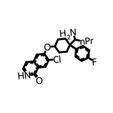 CCCC(N)C1(c2ccc(F)cc2)CCC(Oc2cc3cc[nH]c(=O)c3cc2Cl)CC1